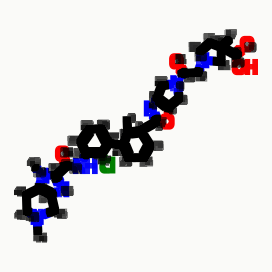 Cc1c(-c2nc3c(o2)CN(C(=O)CN2CCC(C)(C(=O)O)C2)C3)cccc1-c1cccc(NC(=O)c2nc3c(n2C)CCN(C)C3)c1Cl